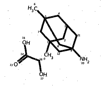 CC12CC3CC(C)(C1)CC(N)(C3)C2.O=C(O)CO